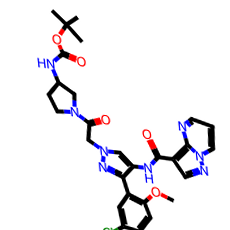 COc1ccc(Cl)cc1-c1nn(CC(=O)N2CCC(NC(=O)OC(C)(C)C)C2)cc1NC(=O)c1cnn2cccnc12